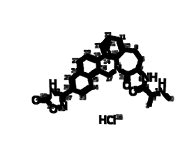 CNC(C)C(=O)NC1CCc2ccccc2N(Cc2c(OC)ccc3cc(-c4noc(=O)[nH]4)ccc23)C1=O.Cl